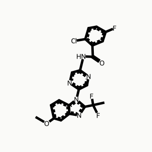 COc1ccc2c(c1)nc(C(C)(F)F)n2-c1cnc(NC(=O)c2cc(F)ccc2Cl)cn1